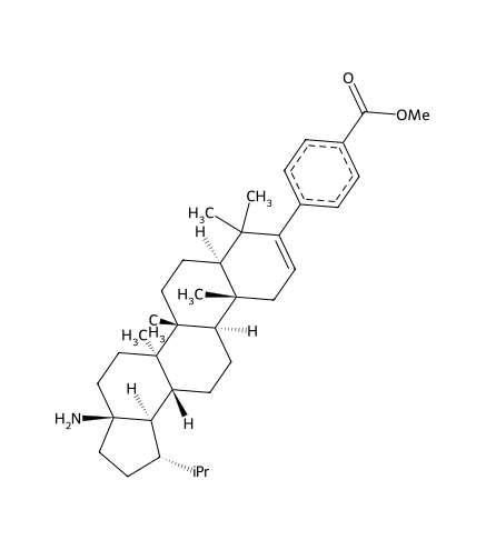 COC(=O)c1ccc(C2=CC[C@]3(C)[C@H]4CC[C@@H]5[C@H]6[C@H](C(C)C)CC[C@]6(N)CC[C@@]5(C)[C@]4(C)CC[C@H]3C2(C)C)cc1